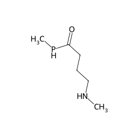 CNCCCC(=O)PC